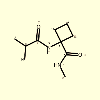 CNC(=O)C1(NC(=O)C(C)C)CCC1